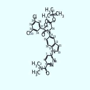 CN(C)C(=O)c1ccc(-n2ccc3cc(N(CC(=O)OC(C)(C)C)S(=O)(=O)c4cc(Cl)cc(Cl)c4)ccc32)nn1